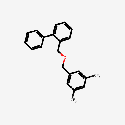 FC(F)(F)c1cc(COCc2ccccc2-c2ccccc2)cc(C(F)(F)F)c1